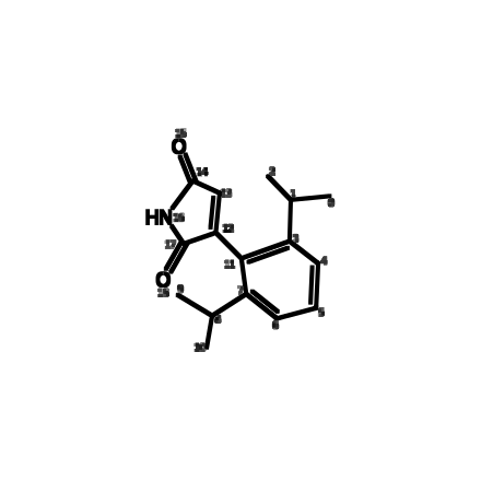 CC(C)c1cccc(C(C)C)c1C1=CC(=O)NC1=O